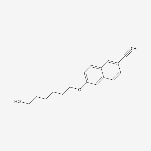 C#Cc1ccc2cc(OCCCCCCO)ccc2c1